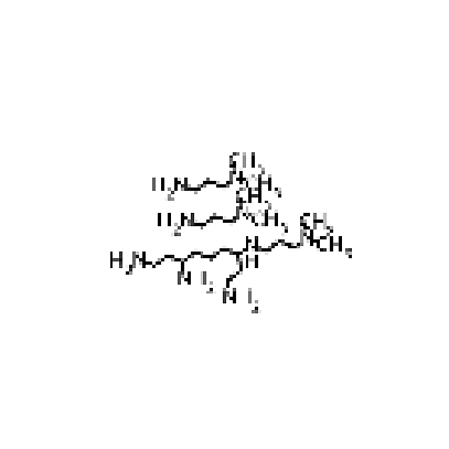 CN(C)CCCN.CN(C)CCCN.CN(C)CCCNC(CCN)CCCC(N)CCN